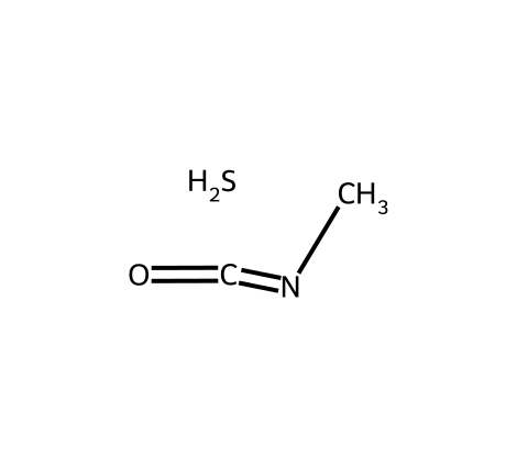 CN=C=O.S